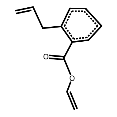 C=CCc1ccccc1C(=O)OC=C